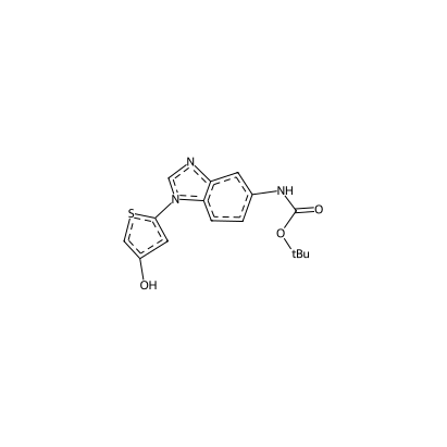 CC(C)(C)OC(=O)Nc1ccc2c(c1)ncn2-c1cc(O)cs1